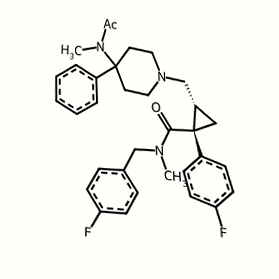 CC(=O)N(C)C1(c2ccccc2)CCN(C[C@@H]2C[C@@]2(C(=O)N(C)Cc2ccc(F)cc2)c2ccc(F)cc2)CC1